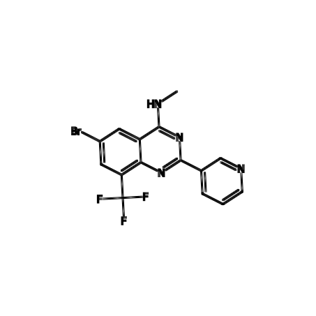 CNc1nc(-c2cccnc2)nc2c(C(F)(F)F)cc(Br)cc12